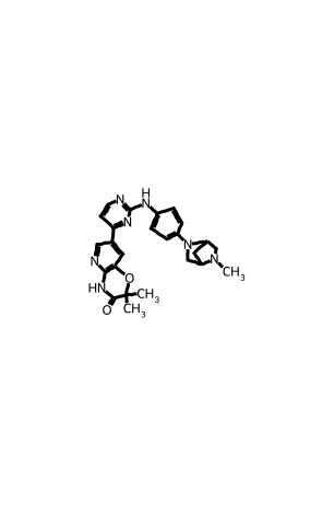 CN1CC2CC1CN2c1ccc(Nc2nccc(-c3cnc4c(c3)OC(C)(C)C(=O)N4)n2)cc1